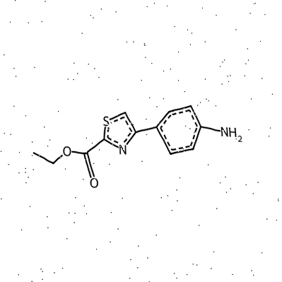 CCOC(=O)c1nc(-c2ccc(N)cc2)cs1